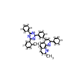 Cc1ccc2ccc3c(-c4cccc(-c5nc(-c6ccccc6)nc(C6C=CC=CC6C)n5)c4)cc(C4=CCCC=C4)nc3c2n1